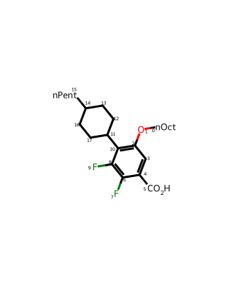 CCCCCCCCOc1cc(C(=O)O)c(F)c(F)c1C1CCC(CCCCC)CC1